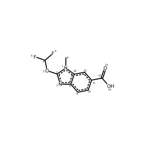 Cn1c(OC(F)F)nc2ccc(C(=O)O)cc21